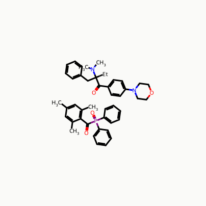 CCC(Cc1ccccc1)(C(=O)c1ccc(N2CCOCC2)cc1)N(C)C.Cc1cc(C)c(C(=O)P(=O)(c2ccccc2)c2ccccc2)c(C)c1